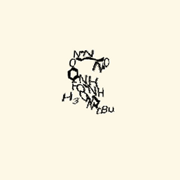 Cn1nc(C(C)(C)C)cc1NC(=O)Nc1cc(Oc2cc(-c3cocn3)ncn2)ccc1F